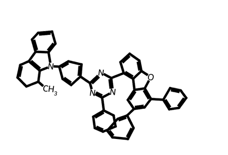 CC1CC=Cc2c1n(-c1ccc(-c3nc(C4=CC=CCC4)nc(-c4cccc5oc6c(-c7ccccc7)cc(-c7ccccc7)cc6c45)n3)cc1)c1ccccc21